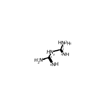 [2H]NC(=N)NC(=N)N